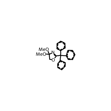 COC1(OC)COC(C(c2ccccc2)(c2ccccc2)c2ccccc2)=N1